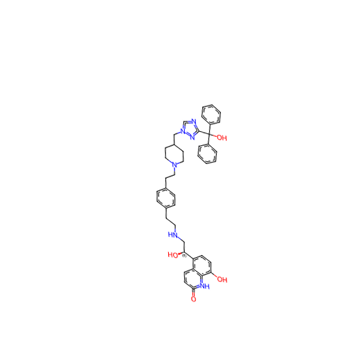 O=c1ccc2c([C@@H](O)CNCCc3ccc(CCN4CCC(Cn5cnc(C(O)(c6ccccc6)c6ccccc6)n5)CC4)cc3)ccc(O)c2[nH]1